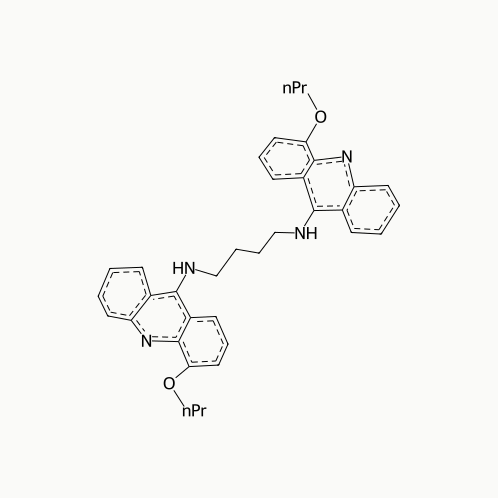 CCCOc1cccc2c(NCCCCNc3c4ccccc4nc4c(OCCC)cccc34)c3ccccc3nc12